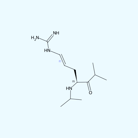 CC(C)N[C@@H](C/C=C/NC(=N)N)C(=O)C(C)C